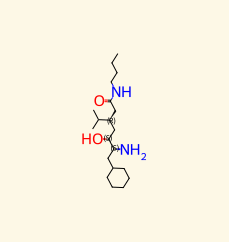 CCCCNC(=O)C[C@@H](C[C@H](O)[C@@H](N)CC1CCCCC1)C(C)C